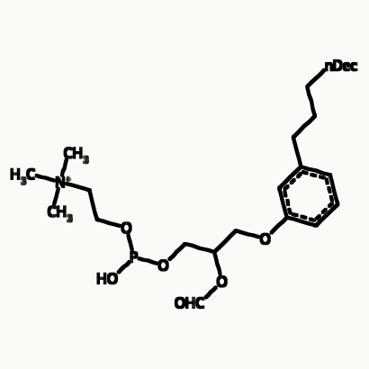 CCCCCCCCCCCCCc1cccc(OCC(COP(O)OCC[N+](C)(C)C)OC=O)c1